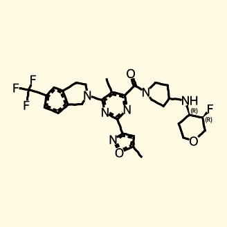 Cc1cc(-c2nc(C(=O)N3CCC(N[C@@H]4CCOC[C@@H]4F)CC3)c(C)c(N3CCc4cc(C(F)(F)F)ccc4C3)n2)no1